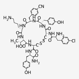 C[C@@H](O)[C@@H]1NC(=O)[C@H](CCCCN)NC(=O)[C@@H](Cc2ccc(C#N)cc2)NC(=O)[C@H](Cc2ccc(O)cc2)NC(=O)[C@H](NC(=O)[C@@H](N)Cc2ccc(Cl)cc2)CSSC[C@@H](C(=O)N[C@H](Cc2ccc(O)cc2)C(N)=O)NC1=O